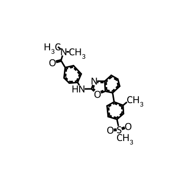 Cc1cc(S(C)(=O)=O)ccc1-c1cccc2nc(Nc3ccc(C(=O)N(C)C)cc3)oc12